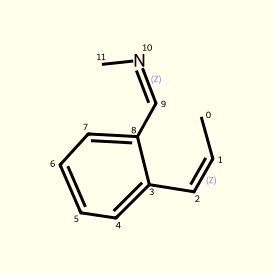 C/C=C\c1ccccc1/C=N\C